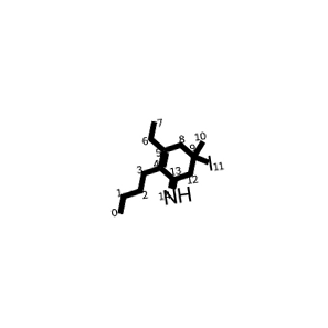 CCCCC1=C(CC)CC(C)(I)CC1=N